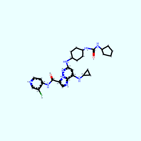 O=C(NC1CCCC1)NC1CCC(Nc2cc(NC3CC3)c3ncc(C(=O)Nc4ccncc4F)n3n2)CC1